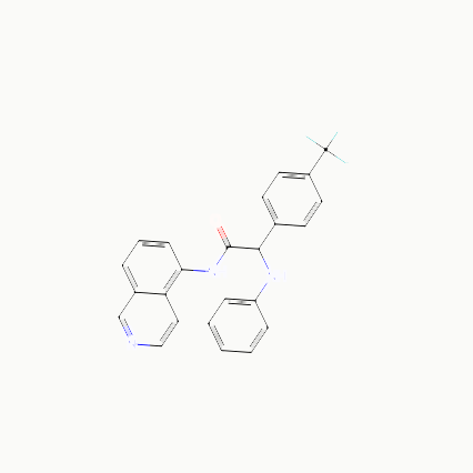 O=C(Nc1cccc2cnccc12)C(Nc1ccccc1)c1ccc(C(F)(F)F)cc1